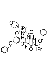 CC(C)C(COCc1ccccc1)NC(=O)C(F)(F)C(=O)C(Cc1ccc(OCc2ccccc2)cc1)NC(=O)C(NC(=O)CN1CCOCC1)C(C)C